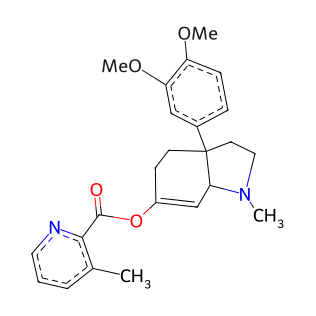 COc1ccc(C23CCC(OC(=O)c4ncccc4C)=CC2N(C)CC3)cc1OC